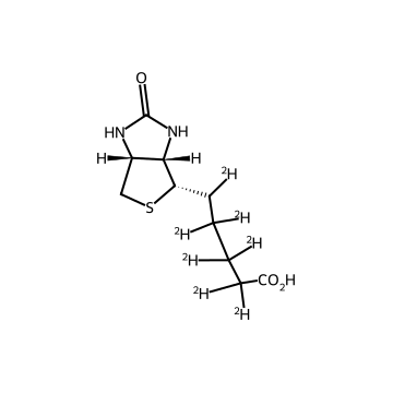 [2H]C([C@@H]1SC[C@@H]2NC(=O)N[C@@H]21)C([2H])([2H])C([2H])([2H])C([2H])([2H])C(=O)O